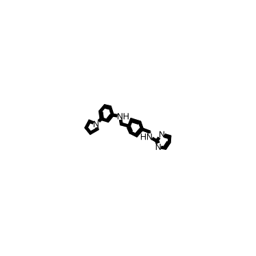 c1cnc(NCc2ccc(CNc3cccc(N4CCCC4)c3)cc2)nc1